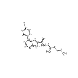 O=C(NCC(O)CCCO)c1cc2c(-c3ccc(F)cc3)cccc2[nH]1